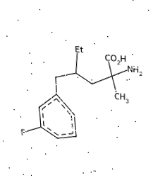 CCC(Cc1cccc(F)c1)CC(C)(N)C(=O)O